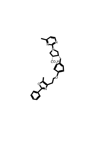 Cc1ccnc(N2C[C@H](Cc3ccc(OCCc4nc(-c5ccccc5)oc4C)cc3)[C@H](C(=O)O)C2)n1